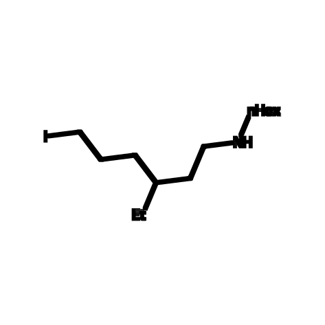 CCCCCCNCCC(CC)CCCI